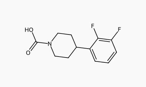 O=C(O)N1CCC(c2cccc(F)c2F)CC1